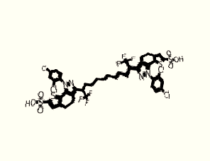 O=S(=O)(O)c1cc2c(s1)-c1c(c(C(CCCCCCCCC(c3nn(-c4ccc(Cl)cc4Cl)c4c3CCc3cc(S(=O)(=O)O)sc3-4)C(F)(F)F)C(F)(F)F)nn1-c1ccc(Cl)cc1Cl)CC2